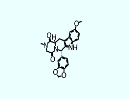 COc1ccc2[nH]c3c(c2c1)C[C@H]1C(=O)N(C)CC(=O)N1[C@H]3c1ccc2c(c1)OCO2